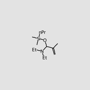 C=C(C)C(O[Si](C)(C)CCC)N(CC)CC